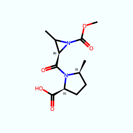 COC(=O)N1C(C)[C@@H]1C(=O)N1[C@@H](C)CC[C@H]1C(=O)O